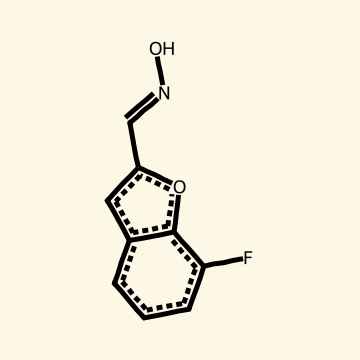 O/N=C/c1cc2cccc(F)c2o1